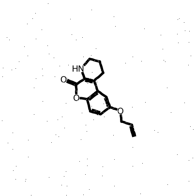 C=CCOc1ccc2oc(=O)c3c(c2c1)CCCN3